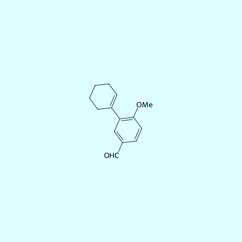 COc1ccc(C=O)cc1C1=CCCCC1